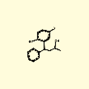 CC(O)CC(c1ccccc1)c1cc(Br)ccc1O